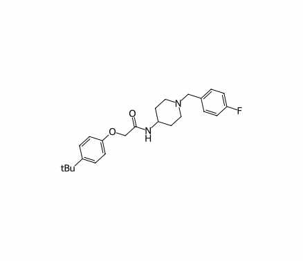 CC(C)(C)c1ccc(OCC(=O)NC2CCN(Cc3ccc(F)cc3)CC2)cc1